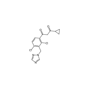 O=C(CC(=O)C1CC1)c1ccc(Cl)c(Cn2cncn2)c1Cl